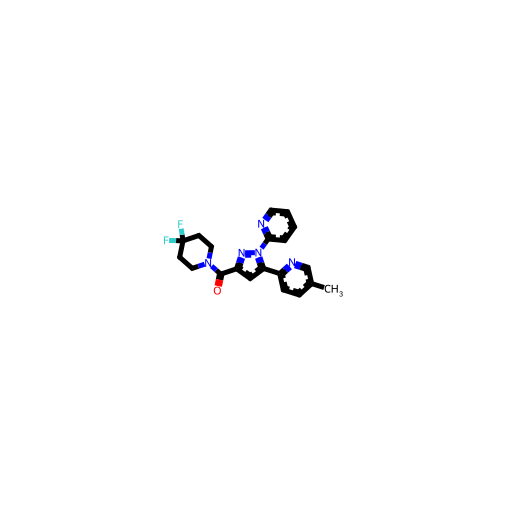 Cc1ccc(-c2cc(C(=O)N3CCC(F)(F)CC3)nn2-c2ccccn2)nc1